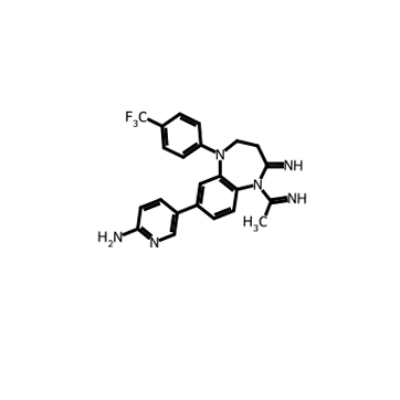 CC(=N)N1C(=N)CCN(c2ccc(C(F)(F)F)cc2)c2cc(-c3ccc(N)nc3)ccc21